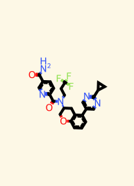 NC(=O)c1ccc(C(=O)N(CCC(F)(F)F)[C@@H]2COc3cccc(-c4cnc(C5CC5)nc4)c3C2)nc1